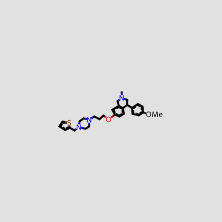 COc1ccc(C2CN(C)Cc3cc(OCCCN4CCN(Cc5cccs5)CC4)ccc32)cc1